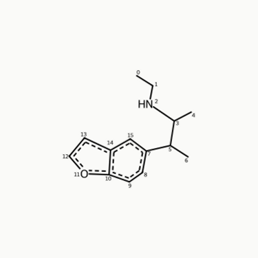 CCNC(C)C(C)c1ccc2occc2c1